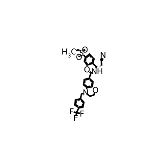 CCS(=O)(=O)c1ccc([C@H](CC#N)NC(=O)c2ccc3c(c2)OCCN3Cc2ccc(C(F)(F)F)cc2)cc1